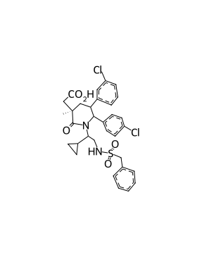 C[C@]1(CC(=O)O)CC(c2cccc(Cl)c2)C(c2ccc(Cl)cc2)N(C(CNS(=O)(=O)Cc2ccccc2)C2CC2)C1=O